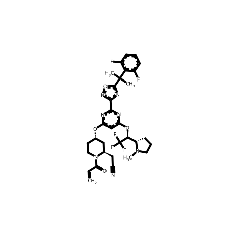 C=CC(=O)N1CC[C@H](Oc2cc(O[C@@H]([C@@H]3CCCN3C)C(F)(F)F)nc(-c3noc(C(C)(C)c4c(F)cccc4F)n3)n2)C[C@H]1CC#N